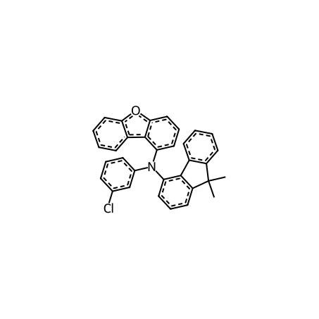 CC1(C)c2ccccc2-c2c(N(c3cccc(Cl)c3)c3cccc4oc5ccccc5c34)cccc21